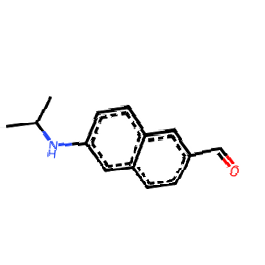 CC(C)Nc1ccc2cc(C=O)ccc2c1